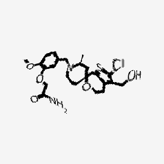 COc1ccc(CN2CC[C@]3(C[C@@H]2C)OCCc2c3sc(Cl)c2CO)cc1OCC(N)=O